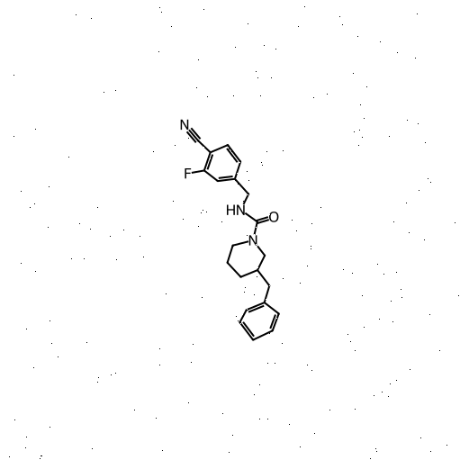 N#Cc1ccc(CNC(=O)N2CCCC(Cc3ccccc3)C2)cc1F